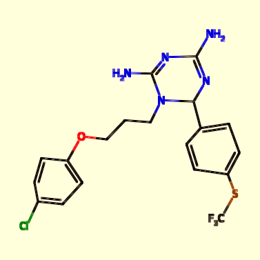 NC1=NC(c2ccc(SC(F)(F)F)cc2)N(CCCOc2ccc(Cl)cc2)C(N)=N1